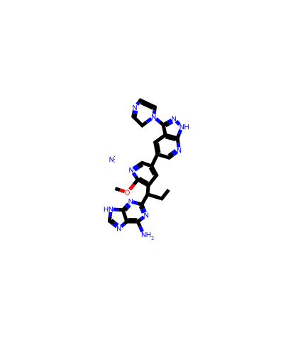 CCC(c1nc(N)c2nc[nH]c2n1)c1cc(-c2cnc3[nH]nc(N4C=CN=CC4)c3c2)cnc1OC.[N]